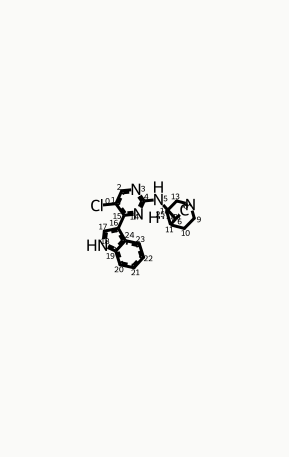 Clc1cnc(N[C@H]2CN3CCC2CC3)nc1-c1c[nH]c2ccccc12